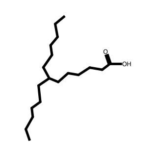 CCCCCCC(CCCCCC)CCCCCC(=O)O